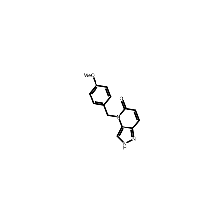 COc1ccc(Cn2c(=O)ccc3n[nH]cc32)cc1